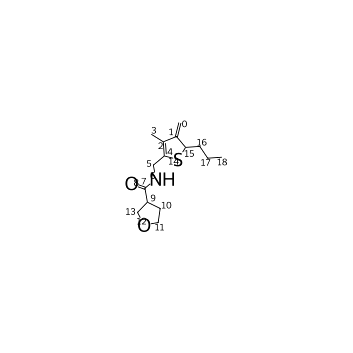 C=C1C(C)=C(CNC(=O)C2CCOC2)SC1CCC